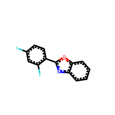 Fc1ccc(-c2nc3ccccc3o2)c(F)c1